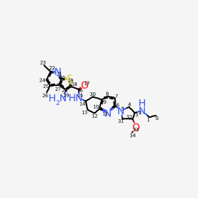 CCNC1CN(c2ccc3c(n2)CCC(NC(=O)c2sc4nc(C)cc(C)c4c2N)C3)CC1OC